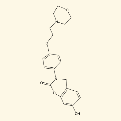 O=C1Oc2cc(O)ccc2CN1c1ccc(OCCN2CCOCC2)cc1